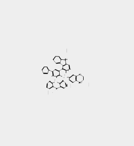 CC1(C)CCC(C)(C)c2cc(N3B4c5cccc6c5N(c5ccccc5C6(C)C)c5c4c(cc4c5sc5ccccc54)-c4c3ccc3c4-c4ccccc4C3(C)C)ccc21